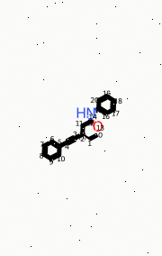 CC[C@@H](C#Cc1ccccc1)CC(=O)Nc1ccccc1